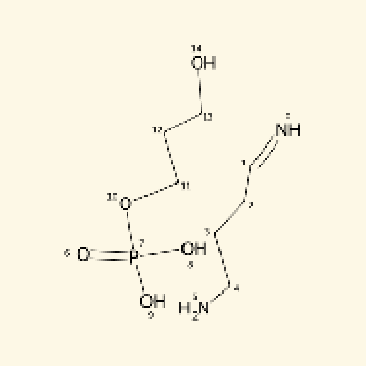 N=CCCCN.O=P(O)(O)OCCCO